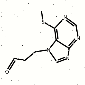 CSc1ncnc2ncn(CCC=O)c12